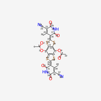 CC(=O)Oc1c2c(c(OC(C)=O)c3c1SC(=C1C(=O)NC(=O)C(C#N)=C1C)S3)SC(=C1C(=O)NC(=O)C(C#N)=C1C)S2